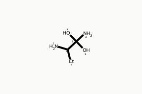 CCC(N)C(N)(O)O